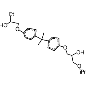 CCC(O)COc1ccc(C(C)(C)c2ccc(OCC(O)COC(C)C)cc2)cc1